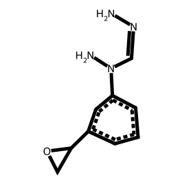 N/N=C\N(N)c1cccc(C2CO2)c1